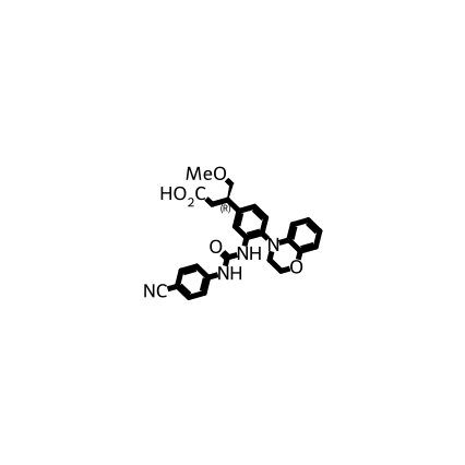 COC[C@H](CC(=O)O)c1ccc(N2CCOc3ccccc32)c(NC(=O)Nc2ccc(C#N)cc2)c1